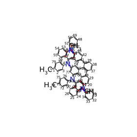 Cc1ccc(N(c2ccc(C)cc2)c2cc(-c3c(-c4ccc(N(c5ccccc5)c5ccccc5)cc4)cccc3-c3ccc(N(c4ccccc4)c4ccccc4)cc3)cc(N(c3ccc(C)cc3)c3ccc(C)cc3)c2)cc1